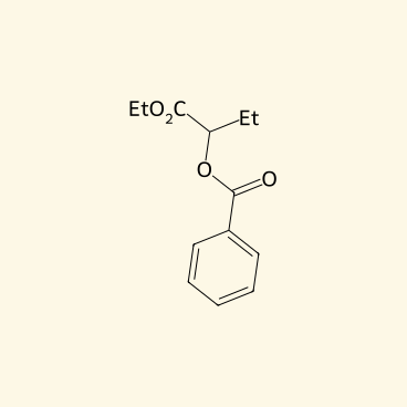 CCOC(=O)C(CC)OC(=O)c1ccccc1